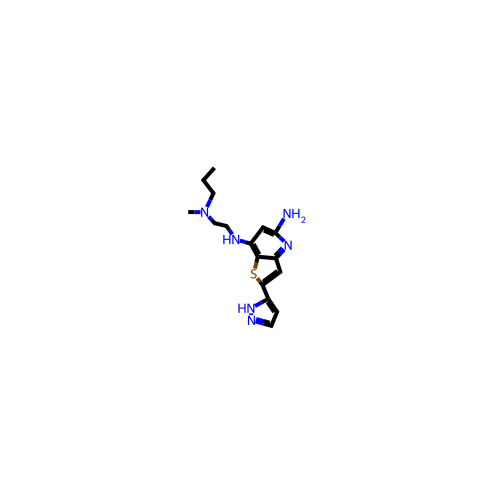 CCCN(C)CCNc1cc(N)nc2cc(-c3ccn[nH]3)sc12